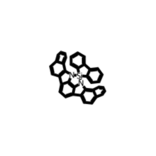 c1ccc2c(c1)-c1ccccc1[Si]21n2c3c4ccccc4ccc3c3ccc4c5ccc6ccccc6c5n1c4c32